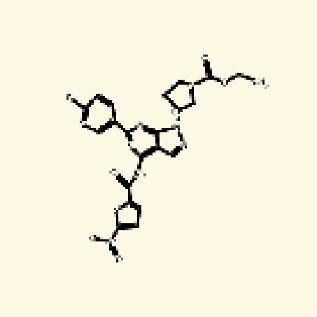 CCOC(=O)N1CC[C@@H](n2ncc3c(NC(=O)c4ccc([N+](=O)[O-])s4)nc(-c4ccc(F)nc4)nc32)C1